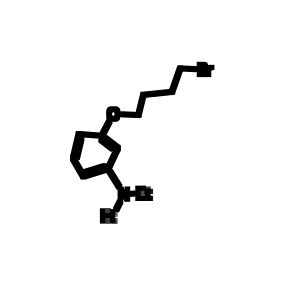 CCN(CC)c1cccc(OCCCCBr)c1